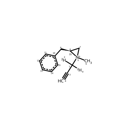 [2H]C([2H])(C#C)[N+]1(C)C[C@@H]1Cc1ccccc1